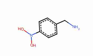 NCc1ccc(N(O)O)cc1